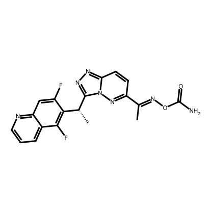 C/C(=N\OC(N)=O)c1ccc2nnc([C@H](C)c3c(F)cc4ncccc4c3F)n2n1